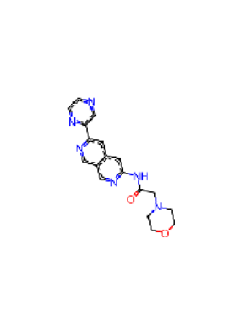 O=C(CN1CCOCC1)Nc1cc2cc(-c3cnccn3)ncc2cn1